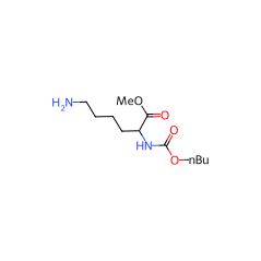 CCCCOC(=O)NC(CCCCN)C(=O)OC